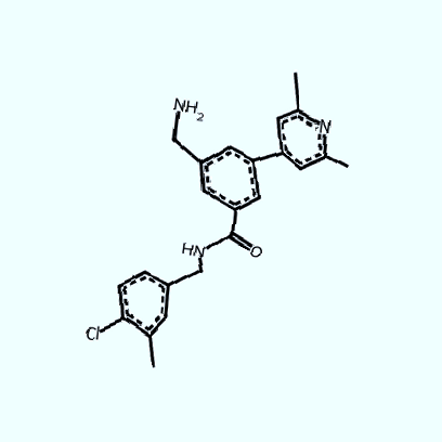 Cc1cc(-c2cc(CN)cc(C(=O)NCc3ccc(Cl)c(C)c3)c2)cc(C)n1